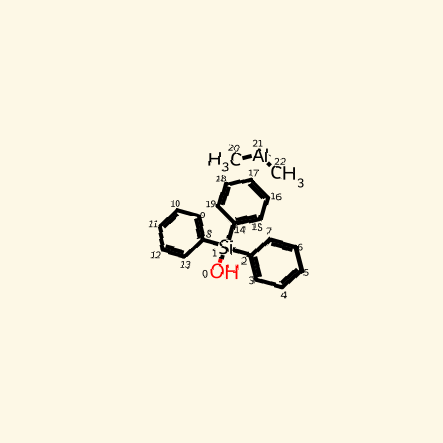 O[Si](c1ccccc1)(c1ccccc1)c1ccccc1.[CH3][Al][CH3]